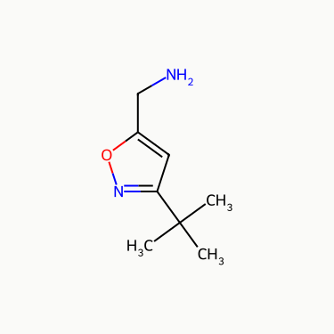 CC(C)(C)c1cc(CN)on1